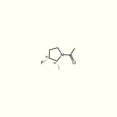 CC(=O)N1CC[C@@H](F)[C@H]1C